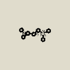 c1ccc(-c2nc(-c3ccccc3)nc(-c3cccc4c3sc3ccc(-c5ccc6c(c5)c5ccccc5n6-c5ccccc5)cc34)n2)cc1